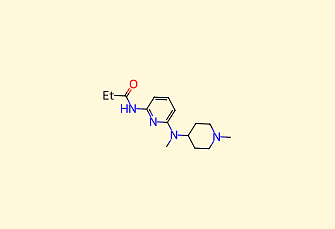 CCC(=O)Nc1cccc(N(C)C2CCN(C)CC2)n1